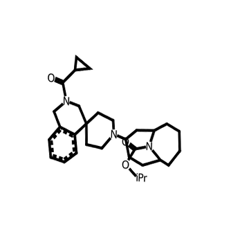 CC(C)OC(=O)N1C2CCCCC1CC(N1CCC3(CC1)CN(C(=O)C1CC1)Cc1ccccc13)CC2